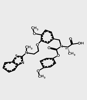 COc1ccc(OC(=O)N(Cc2ccc(OC)c(OCCN(C)c3nc4ccccc4s3)c2)[C@@H](C)C(=O)O)cc1